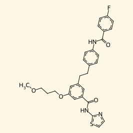 COCCCOc1cc(CCc2ccc(NC(=O)c3ccc(F)cc3)cc2)cc(C(=O)Nc2nccs2)c1